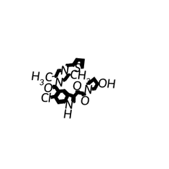 C[C@@H]1CN(Cc2cccs2)[C@@H](C)CN1C(=O)c1cc2c(C(=O)C(=O)N3CC[C@@H](O)C3)c[nH]c2cc1Cl